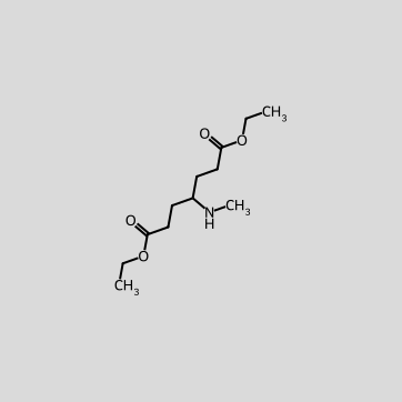 CCOC(=O)CCC(CCC(=O)OCC)NC